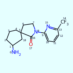 NC1CCCC2(CCN(c3cccc(C(F)(F)F)n3)C2=O)C1